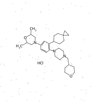 CC1CN(c2ccc(N3CCN(CC4CCOCC4)CC3)c(C3CCC4(CC3)CC4)c2)CC(C)O1.Cl